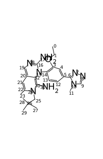 CCOc1cc(-c2nncn2C)ccc1N1C(N)=NC=C2C=C(C)N(CC(C)(C)C)C(N)=C21